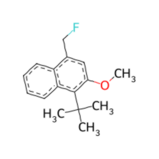 COc1cc(CF)c2ccccc2c1C(C)(C)C